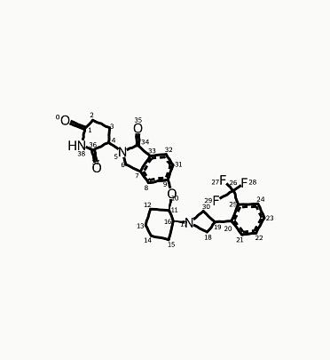 O=C1CCC(N2Cc3cc(O[C@@H]4CCCC[C@@H]4N4CC(c5ccccc5C(F)(F)F)C4)ccc3C2=O)C(=O)N1